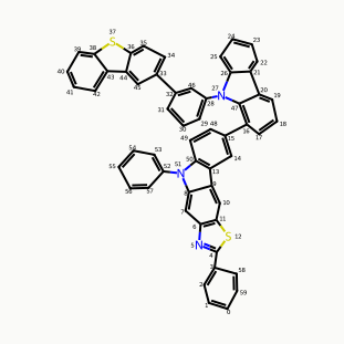 c1ccc(-c2nc3cc4c(cc3s2)c2cc(-c3cccc5c6ccccc6n(-c6cccc(-c7ccc8sc9ccccc9c8c7)c6)c35)ccc2n4-c2ccccc2)cc1